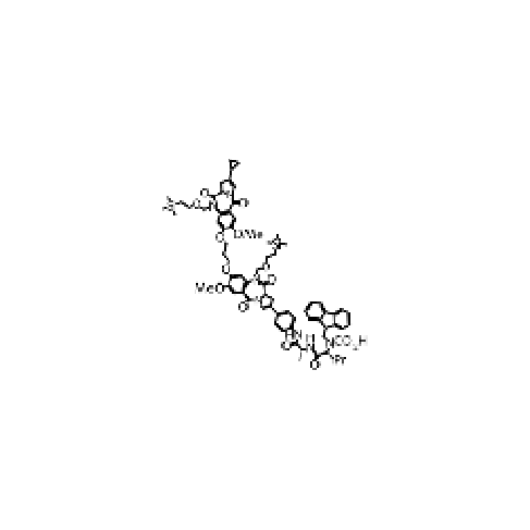 COc1cc2c(cc1OCCCOc1cc3c(cc1OC)C(=O)N1C=C(C4CC4)CC1C(=O)N3COCC[Si](C)(C)C)N(COCC[Si](C)(C)C)C(=O)C1CC(c3ccc(NC(=O)[C@H](C)NC(=O)[C@H](C(C)C)N(CC4c5ccccc5-c5ccccc54)C(=O)O)cc3)=CN1C2=O